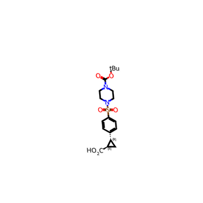 CC(C)(C)OC(=O)N1CCN(S(=O)(=O)c2ccc([C@@H]3C[C@H]3C(=O)O)cc2)CC1